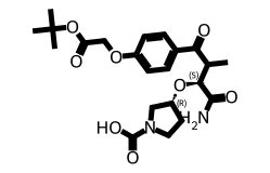 CC(C(=O)c1ccc(OCC(=O)OC(C)(C)C)cc1)[C@H](O[C@@H]1CCN(C(=O)O)C1)C(N)=O